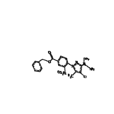 CCCN(CCC)c1nn(-c2ccc(C(=O)OCc3ccccc3)cc2C(=O)OCC)c(C(F)(F)F)c1Cl